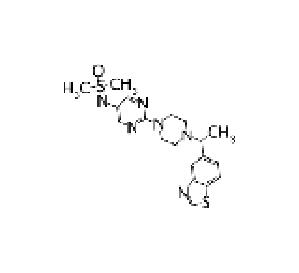 CC(c1ccc2scnc2c1)N1CCN(c2ncc(N=S(C)(C)=O)cn2)CC1